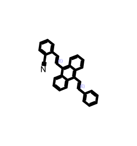 N#Cc1ccccc1/C=C/c1c2ccccc2c(/C=C/c2ccccc2)c2ccccc12